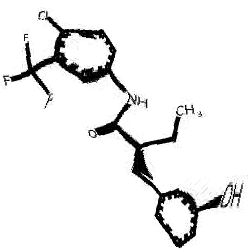 CC/C(=C\c1cccc(O)c1)C(=O)Nc1ccc(Cl)c(C(F)(F)F)c1